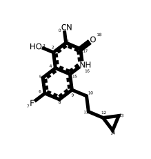 N#Cc1c(O)c2cc(F)cc(CCC3CC3)c2[nH]c1=O